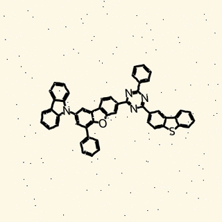 c1ccc(-c2nc(-c3ccc4c(c3)oc3c(-c5ccccc5)cc(-n5c6ccccc6c6ccccc65)cc34)nc(-c3ccc4sc5ccccc5c4c3)n2)cc1